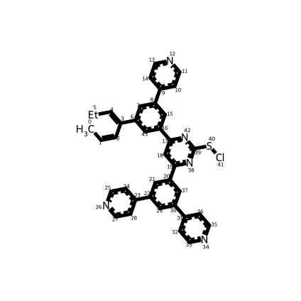 C/C=C\C(=C/CC)c1cc(-c2ccncc2)cc(-c2cc(-c3cc(-c4ccncc4)cc(-c4ccncc4)c3)nc(SCl)n2)c1